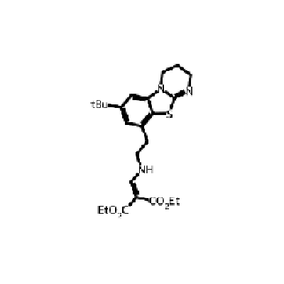 CCOC(=O)C(=CNCCc1cc(C(C)(C)C)cc2c1SC1=NCCCN12)C(=O)OCC